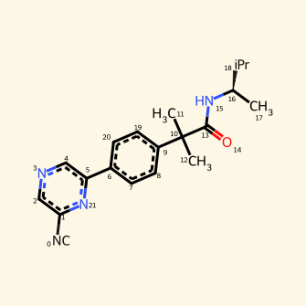 [C-]#[N+]c1cncc(-c2ccc(C(C)(C)C(=O)N[C@H](C)C(C)C)cc2)n1